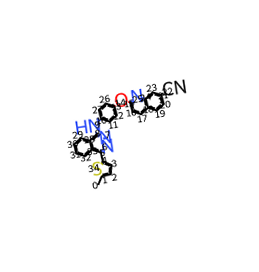 Cc1ccc(-c2nnc(Nc3ccc(Oc4ccc5ccc(C#N)cc5n4)cc3)c3ccccc23)s1